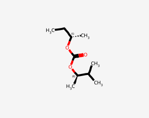 C[CH][C@H](C)OC(=O)O[C@H](C)C(C)C